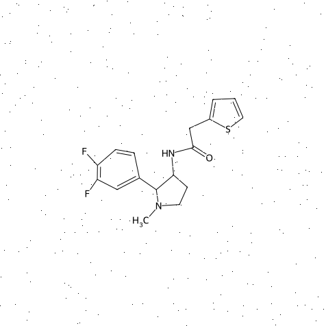 CN1CCC(NC(=O)Cc2cccs2)C1c1ccc(F)c(F)c1